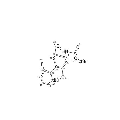 CC(C)(C)OC(=O)Nc1cc(OC(C)(C)C)c(-c2ccccc2F)cc1[N+](=O)[O-]